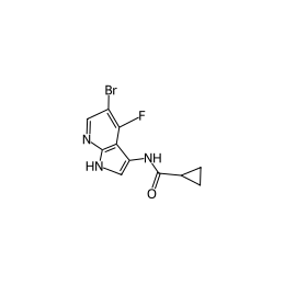 O=C(Nc1c[nH]c2ncc(Br)c(F)c12)C1CC1